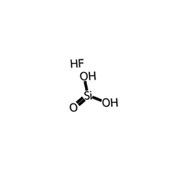 F.O=[Si](O)O